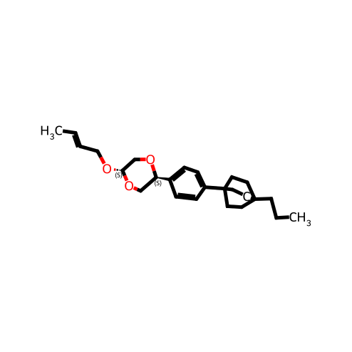 CC=CCO[C@@H]1CO[C@@H](c2ccc(C34CCC(CCC)(CC3)CC4)cc2)CO1